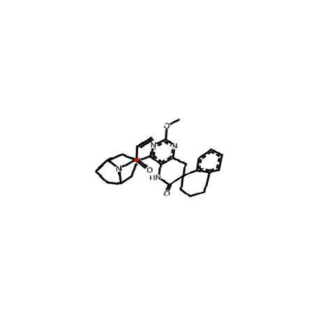 C=CC(=O)N1C2CCC1CN(c1nc(OC)nc3c1NC(=O)C1(CCCc4ccccc41)C3)C2